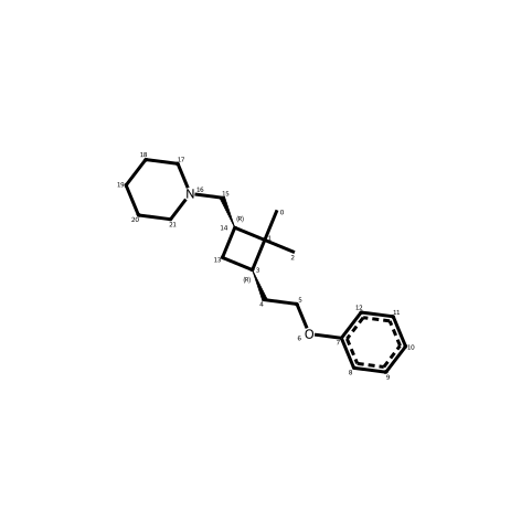 CC1(C)[C@@H](CCOc2ccccc2)C[C@H]1CN1CCCCC1